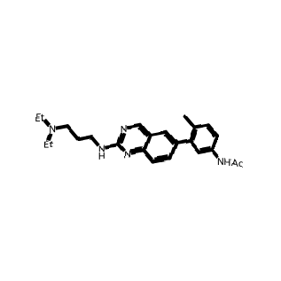 CCN(CC)CCCNc1ncc2cc(-c3cc(NC(C)=O)ccc3C)ccc2n1